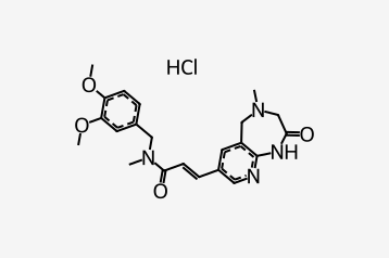 COc1ccc(CN(C)C(=O)C=Cc2cnc3c(c2)CN(C)CC(=O)N3)cc1OC.Cl